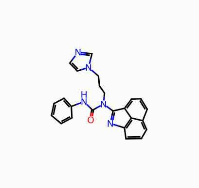 O=C(Nc1ccccc1)N(CCCn1ccnc1)C1=Nc2cccc3cccc1c23